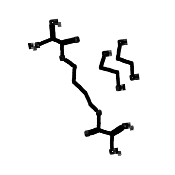 C=C(C)C(=O)OCCCCOC(=O)C(=C)C.OCCO.OCCO